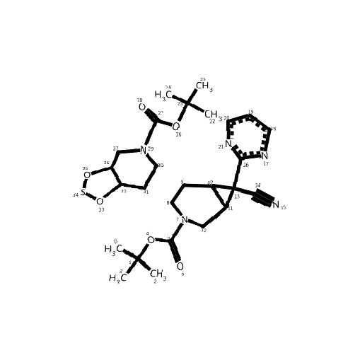 CC(C)(C)OC(=O)N1CCC2C(C1)C2(C#N)c1ncccn1.CC(C)(C)OC(=O)N1CCC2OSOC2C1